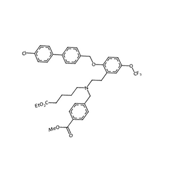 CCOC(=O)CCCCN(CCc1cc(OC(F)(F)F)ccc1OCc1ccc(-c2ccc(Cl)cc2)cc1)Cc1ccc(C(=O)OC)cc1